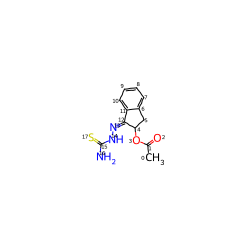 CC(=O)OC1Cc2ccccc2C1=NNC(N)=S